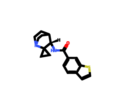 O=C(N[C@H]1C2CCN(CC2)C12CC2)c1ccc2ccsc2c1